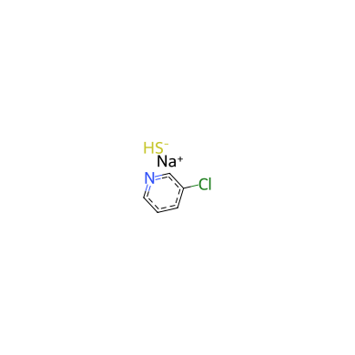 Clc1cccnc1.[Na+].[SH-]